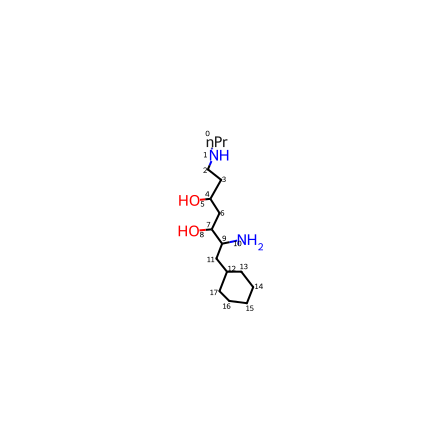 CCCNCCC(O)CC(O)C(N)CC1CCCCC1